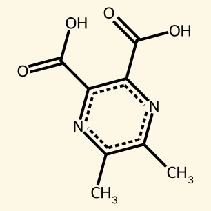 Cc1nc(C(=O)O)c(C(=O)O)nc1C